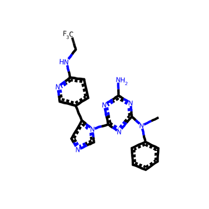 CN(c1ccccc1)c1nc(N)nc(-n2cncc2-c2ccc(NCC(F)(F)F)nc2)n1